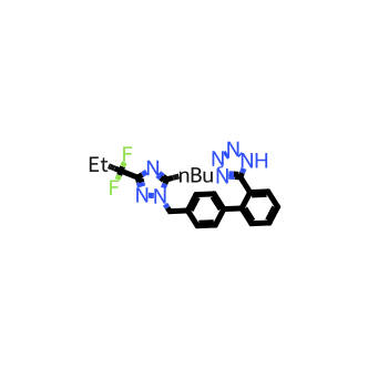 CCCCc1nc(C(F)(F)CC)nn1Cc1ccc(-c2ccccc2-c2nnn[nH]2)cc1